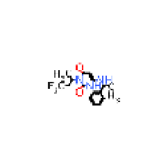 CC(CC(F)(F)F)n1c(=O)cc(N[C@@H](C)c2ccccc2)[nH]c1=O